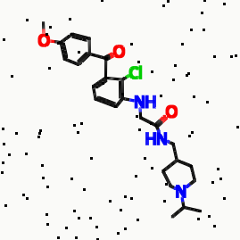 COc1ccc(C(=O)c2cccc(NCC(=O)NCC3CCN(C(C)C)CC3)c2Cl)cc1